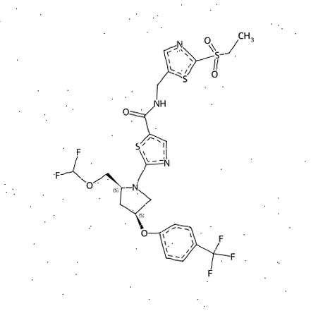 CCS(=O)(=O)c1ncc(CNC(=O)c2cnc(N3C[C@@H](Oc4ccc(C(F)(F)F)cc4)C[C@H]3COC(F)F)s2)s1